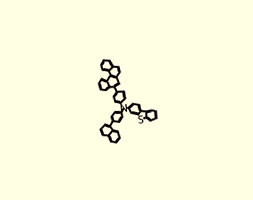 c1ccc2c(-c3ccc(N(c4ccc(-c5cc6ccc7ccccc7c6c6ccccc56)cc4)c4ccc5c(c4)sc4ccccc45)cc3)cccc2c1